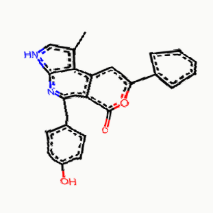 Cc1c[nH]c2nc(-c3ccc(O)cc3)c3c(=O)oc(-c4ccccc4)cc3c12